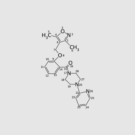 Cc1noc(C)c1COc1ccccc1C(=O)N1CCN(c2ccccn2)CC1